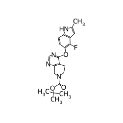 Cc1cc2c(F)c(Oc3ncnc4c3CCN(C(=O)OC(C)(C)C)C4)ccc2[nH]1